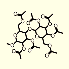 COC1OC(COC(C)=O)C(OC2OC(COC(C)=O)C(OC(C)=O)C(OC(C)=O)C2OC(C)=O)C(OC(C)=O)C1OC(C)=O